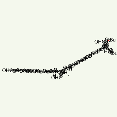 CC(C)(C)OC(=O)CCOCC(COCCC=O)(COCCC(=O)OC(C)(C)C)NC(=O)CCOCCOCCOCCOCCOCCOCCOCCOCCOCCOCCOCCOCCNC(=O)CCOCC(N)(COCCC=O)COCCC(=O)NCCOCCOCCOCCOCCOCCOCCOCCOCCOCCOCCOCCOCCC=O